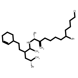 C=C(CCCCC(CCC)CCCCCl)[C@H](NC(C)C(CCC1C=CCCC1)C[C@H](C)C(C)C)C(C)C